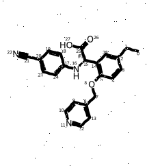 CCc1ccc(OCc2ccncc2)c([C@@H](Nc2ccc(C#N)cc2)C(=O)O)c1